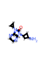 NC1CC(n2c(=O)n(C3CC3)c3nccnc32)C1